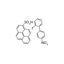 O=S(=O)(O)c1ccc2ccc3cccc4ccc1c2c34.O=[N+]([O-])c1ccc(-c2ccccc2I)cc1